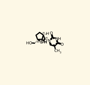 Cc1cn([C@@H]2O[C@@]3(CO)CC[C@@H]2[C@@H]3O)c(=O)[nH]c1=O